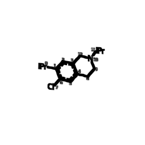 CC(C)c1cc2c(cc1Cl)CCN(C(C)C)C2